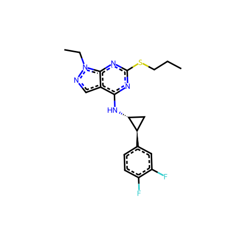 CCCSc1nc(N[C@@H]2C[C@H]2c2ccc(F)c(F)c2)c2cnn(CC)c2n1